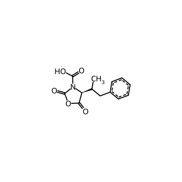 CC(Cc1ccccc1)[C@H]1C(=O)OC(=O)N1C(=O)O